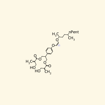 C=C(CO)C(=O)OCC(COC(=O)C(=C)CO)c1ccc(O/C=C\OC(C)CCC(C)CCCCC)cc1